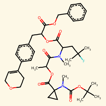 CC(OC(=O)C1(N(C)C(=O)OC(C)(C)C)CC1)C(=O)N(C)C(CC(C)(C)F)C(=O)OC(Cc1ccc(C2=CCOCC2)cc1)C(=O)OCc1ccccc1